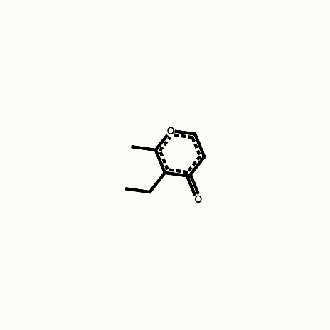 CCc1c(C)occc1=O